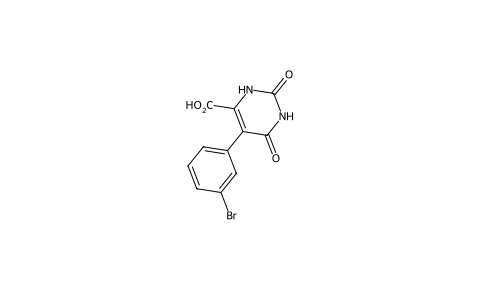 O=C(O)c1[nH]c(=O)[nH]c(=O)c1-c1cccc(Br)c1